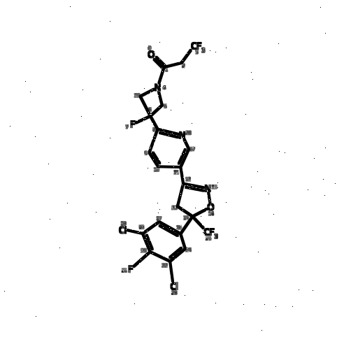 O=C(CC(F)(F)F)N1CC(F)(c2ccc(C3=NOC(c4cc(Cl)c(F)c(Cl)c4)(C(F)(F)F)C3)cn2)C1